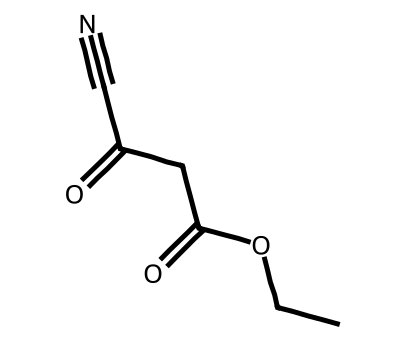 CCOC(=O)CC(=O)C#N